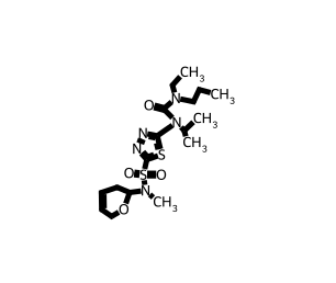 CCCN(CC)C(=O)N(c1nnc(S(=O)(=O)N(C)C2CC=CCO2)s1)C(C)C